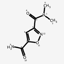 CN(C)C(=O)c1cc(C(N)=O)on1